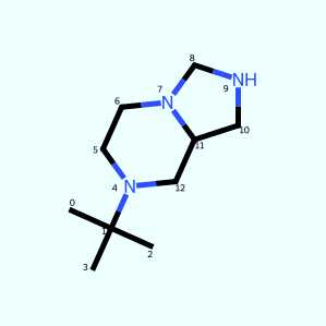 CC(C)(C)N1CCN2CNCC2C1